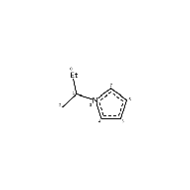 CCC(C)n1cccc1